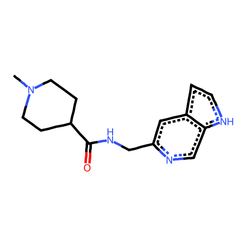 CN1CCC(C(=O)NCc2cc3cc[nH]c3cn2)CC1